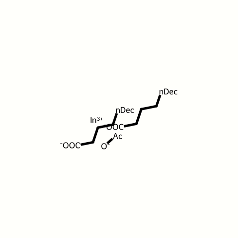 CC(=O)[O-].CCCCCCCCCCCCCC(=O)[O-].CCCCCCCCCCCCCC(=O)[O-].[In+3]